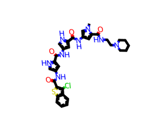 Cn1cc(NC(=O)c2cc(NC(=O)c3cc(NC(=O)c4sc5ccccc5c4Cl)c[nH]3)c[nH]2)cc1C(=O)NCCN1CCCCC1